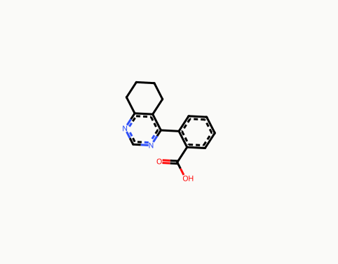 O=C(O)c1ccccc1-c1ncnc2c1CCCC2